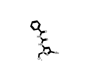 CC(C)(C)c1cc(NC(=S)NC(=O)c2ccccc2)n(CC(F)(F)F)n1